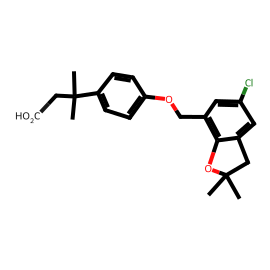 CC1(C)Cc2cc(Cl)cc(COc3ccc(C(C)(C)CC(=O)O)cc3)c2O1